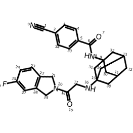 N#Cc1ccc(C(=O)NC23CC4CC(CC(NCC(=O)N5Cc6ccc(F)cc6C5)(C4)C2)C3)cc1